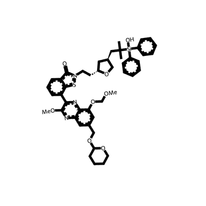 COCOc1cc(COC2CCCCO2)cc2nc(OC)c(-c3cccc4c(=O)n(CC[C@@H]5C[C@@H](CC(C)(C)[Si](O)(c6ccccc6)c6ccccc6)CO5)sc34)nc12